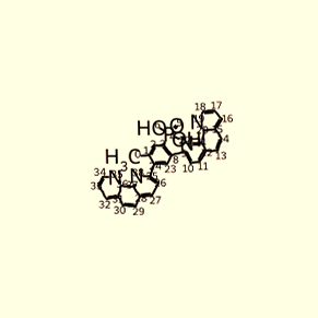 Cc1cc(P(=O)(O)O)c(-c2ccc3ccc4cccnc4c3n2)cc1-c1ccc2ccc3cccnc3c2n1